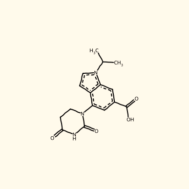 CC(C)n1ccc2c(N3CCC(=O)NC3=O)cc(C(=O)O)cc21